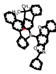 CC1(C)c2ccccc2-c2cc(N(c3ccccc3-c3ccc4ccccc4c3)c3c4oc(-c5ccccc5)nc4cc4c3oc3ccccc34)ccc21